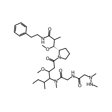 CCC(C)C(C(CC(=O)N1CCC[C@H]1C(OC)C(C)C(=O)NCCc1ccccc1)OC)N(C)C(=O)CNC(=O)CN(C)NC